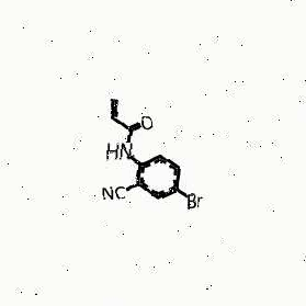 C=CC(=O)Nc1ccc(Br)cc1C#N